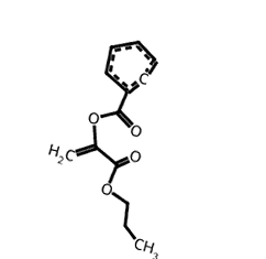 C=C(OC(=O)c1ccccc1)C(=O)OCCC